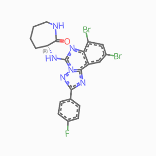 O=C1NCCCC[C@H]1Nc1nc2c(Br)cc(Br)cc2c2nc(-c3ccc(F)cc3)nn12